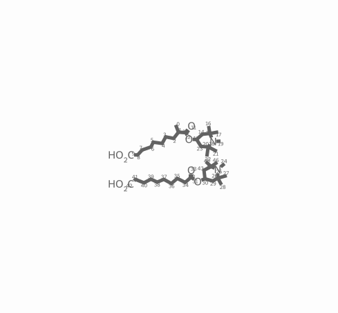 CC(CCCCCCCC(=O)O)C(=O)OC1CC(C)(C)N(C)C(C)(C)C1.CN1C(C)(C)CC(OC(=O)CCCCCCCCC(=O)O)CC1(C)C